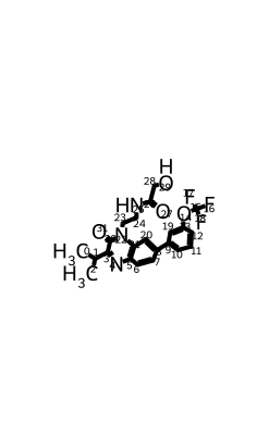 CC(C)c1nc2ccc(-c3cccc(OC(F)(F)F)c3)cc2n(CCNC(=O)CO)c1=O